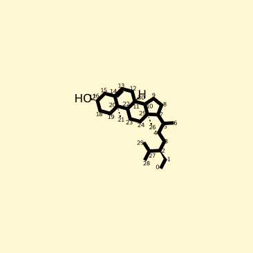 CC[C@H](CCC(C)C1CCC2[C@@H]3CC=C4C[C@@H](O)CC[C@]4(C)C3CC[C@]12C)C(C)C